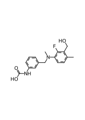 Cc1ccc(N(C)Cc2cccc(NC(=O)O)c2)c(F)c1CO